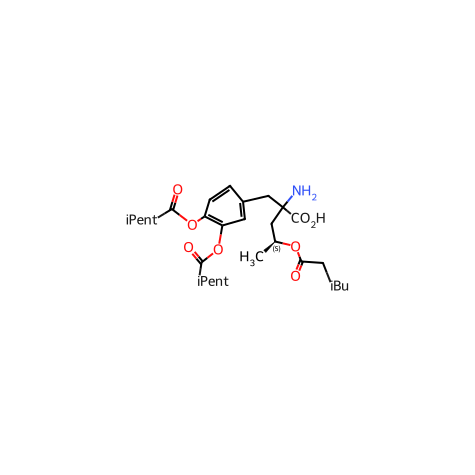 CCCC(C)C(=O)Oc1ccc(CC(N)(C[C@H](C)OC(=O)CC(C)CC)C(=O)O)cc1OC(=O)C(C)CCC